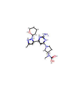 Cc1cc(-c2cc(N3CC[C@@H](N(C)C(=O)O)C3)nc(N)n2)n(C2CCCCO2)n1